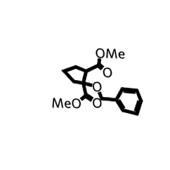 COC(=O)C1CCCC1(OCc1ccccc1)C(=O)OC